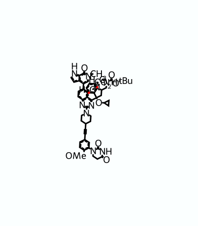 COc1ccc(C#CC2CCN(c3nc(C(CC(CN(C)C(=O)OC(C)(C)C)N(C)C(=O)O)(OC4CC4)c4ccccc4)c4cc(-c5cn(C)c(=O)c6[nH]ccc56)ccc4n3)CC2)cc1N1CCC(=O)NC1=O